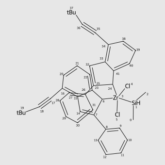 C[SiH](C)[Zr]([Cl])([Cl])([CH]1C(c2ccccc2)=Cc2c(C#CC(C)(C)C)cccc21)[CH]1C(c2ccccc2)=Cc2c(C#CC(C)(C)C)cccc21